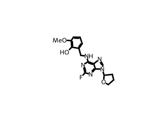 COc1cccc(CNc2nc(F)nc3c2ncn3C2CCCO2)c1O